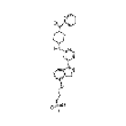 CS(=O)(=O)CCCOc1cccc2c1cnn2-c1ccnc(N[C@H]2CC[C@H](C(=O)c3ccccn3)CC2)n1